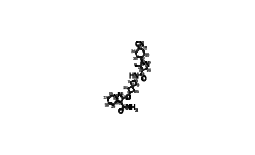 Cc1c(C(=O)N[C@H]2CC3(C2)C[C@H](Oc2nn4ccccc4c2C(N)=O)C3)cnn1-c1ccc(C#N)cc1